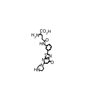 N[C@H](CCC(=O)Nc1cccc(-c2nn3c(=O)cc(N4CCNCC4)nc3s2)c1)C(=O)O